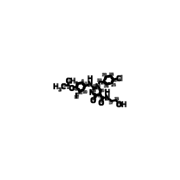 CC(C)Oc1ccc(Nc2nc(=O)c(C(=O)NCCO)cn2Cc2ccc(Cl)cc2)cc1F